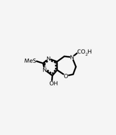 CSc1nc(O)c2c(n1)CN(C(=O)O)CCO2